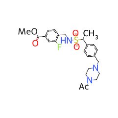 COC(=O)c1ccc(CNS(=O)(=O)C(C)c2ccc(CN3CCN(C(C)=O)CC3)cc2)c(F)c1